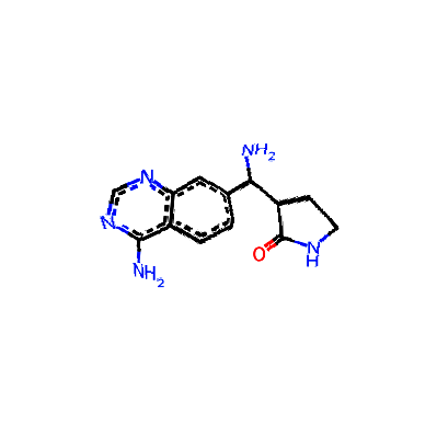 Nc1ncnc2cc(C(N)C3CCNC3=O)ccc12